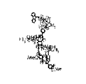 COc1ccc(C2=CN3C(=O)c4cc(OC)c(OCCCOc5cc6c(cc5OC)C(=O)N5C=C(c7ccc(NC(=O)[C@H](C)NC(=O)[C@@H](NC(=O)OCC8c9ccccc9-c9ccccc98)C(C)C)cc7)C[C@H]5C(=O)N6COCC[Si](C)(C)C)cc4N(COCC[Si](C)(C)C)C(=O)[C@@H]3C2)cc1F